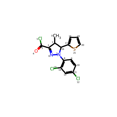 CC1C(C(=O)Cl)=NN(c2ccc(Cl)cc2Cl)C1c1cccs1